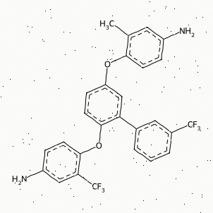 Cc1cc(N)ccc1Oc1ccc(Oc2ccc(N)cc2C(F)(F)F)c(-c2cccc(C(F)(F)F)c2)c1